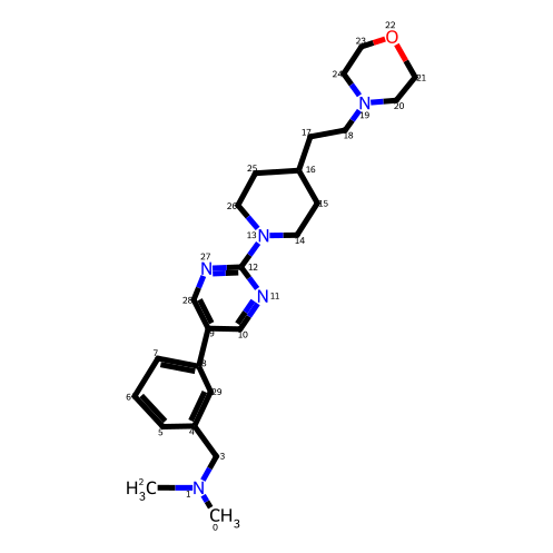 CN(C)Cc1cccc(-c2cnc(N3CCC(CCN4CCOCC4)CC3)nc2)c1